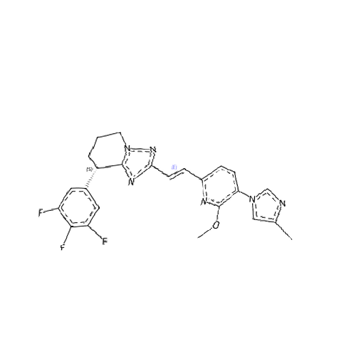 COc1nc(/C=C/c2nc3n(n2)CCC[C@H]3c2cc(F)c(F)c(F)c2)ccc1-n1cnc(C)c1